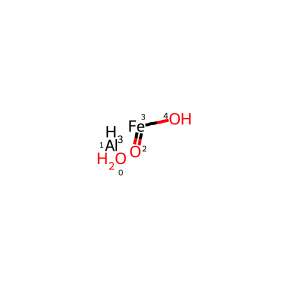 O.[AlH3].[O]=[Fe][OH]